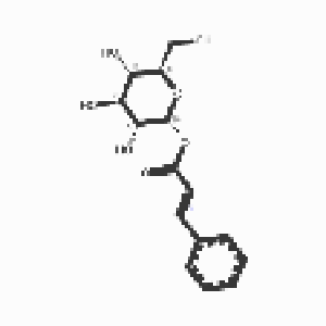 O=C(/C=C/c1ccccc1)O[C@H]1O[C@H](CO)[C@@H](O)[C@H](O)[C@H]1O